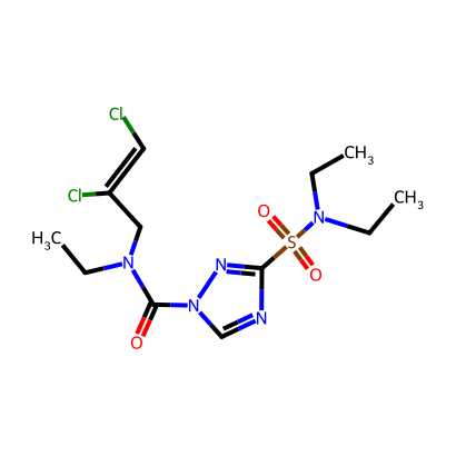 CCN(CC(Cl)=CCl)C(=O)n1cnc(S(=O)(=O)N(CC)CC)n1